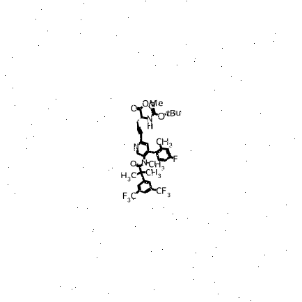 COC(=O)[C@@H](CC#Cc1cc(-c2ccc(F)cc2C)c(N(C)C(=O)C(C)(C)c2cc(C(F)(F)F)cc(C(F)(F)F)c2)cn1)NC(=O)OC(C)(C)C